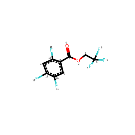 O=C(OCC(F)(F)F)c1cc(F)c(F)cc1F